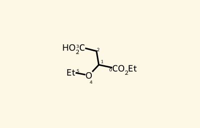 CCOC(=O)C(CC(=O)O)OCC